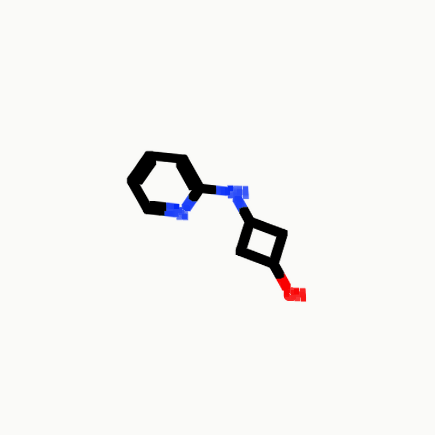 OC1CC(Nc2ccccn2)C1